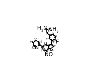 CN(C)Cc1ccc(F)c(-c2csc3c(N=O)nc(C4=CCCC=N4)nc23)c1